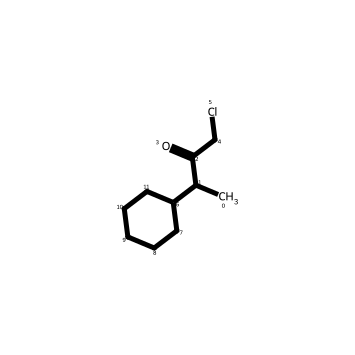 CC(C(=O)CCl)C1CCCCC1